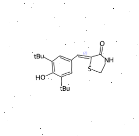 CC(C)(C)c1cc(/C=C2\SCNC2=O)cc(C(C)(C)C)c1O